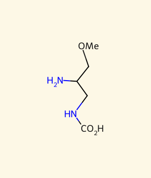 COCC(N)CNC(=O)O